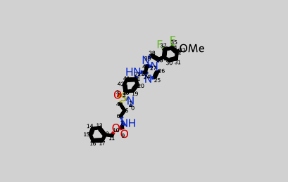 CN=S(=O)(CCCNC(=O)OCc1ccccc1)c1ccc(Nc2nccn3c(-c4ccc(OC)c(F)c4F)cnc23)cc1